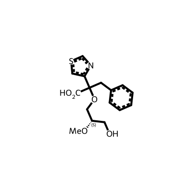 CO[C@@H](CO)COC(Cc1ccccc1)(C(=O)O)c1cscn1